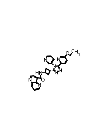 CCOc1ccc(-c2nnc([C@H]3C[C@H](NC(=O)c4ccnc5cccnc45)C3)n2-c2cccnc2)nc1